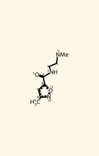 CNCCNC(=O)c1cc(C)no1